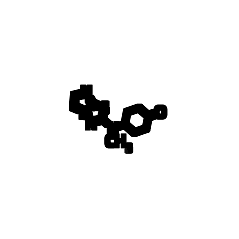 CN(c1nn2ccnc2s1)C1CCC(=O)CC1